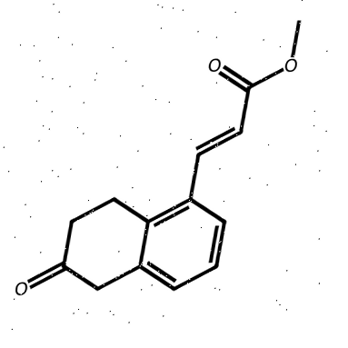 COC(=O)C=Cc1cccc2c1CCC(=O)C2